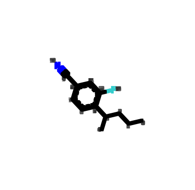 CCCC(C)c1ccc(C#N)cc1F